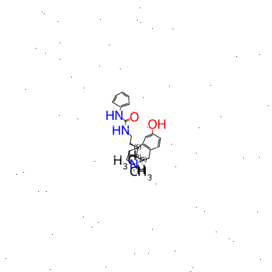 C[C@H]1[C@H]2Cc3ccc(O)cc3[C@@]1(CCNC(=O)Nc1ccccc1)CCN2C